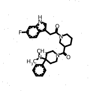 CN(C)C1(c2ccccc2)CCN(C(=O)C2CCCN(C(=O)Cc3c[nH]c4cc(F)ccc34)C2)CC1